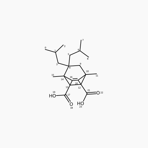 CC(C)CC1(CC(C)C)CC2(C)CCC1(C)C(C(=O)O)=C2C(=O)O